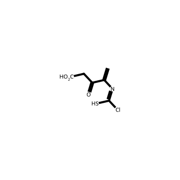 C=C(/N=C(\S)Cl)C(=O)CC(=O)O